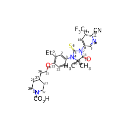 CCc1cc(N2C(=S)N(c3cnc(C#N)c(C(F)(F)F)c3)C(=O)C2(C)C)ccc1OCCC1CCN(C(=O)O)CC1